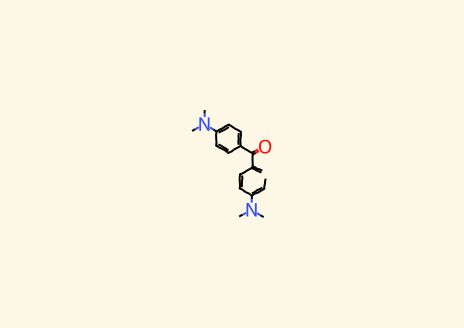 C=C(/C=C\C(=C/C)N(C)C)C(=O)c1ccc(N(C)C)cc1